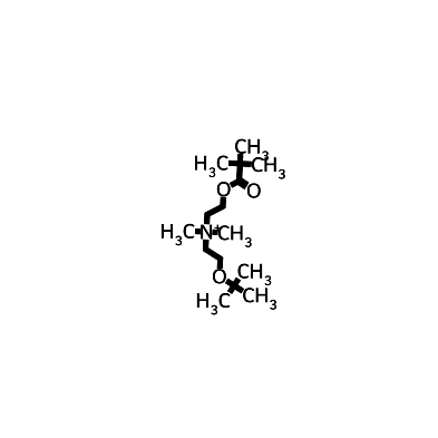 CC(C)(C)OCC[N+](C)(C)CCOC(=O)C(C)(C)C